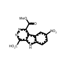 COC(=O)c1nnc(C(=O)O)c2[nH]c3ccc([N+](=O)[O-])cc3c12